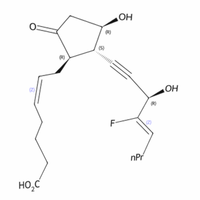 CCC/C=C(\F)[C@H](O)C#C[C@H]1[C@H](O)CC(=O)[C@@H]1C/C=C\CCCC(=O)O